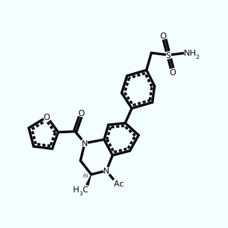 CC(=O)N1c2ccc(-c3ccc(CS(N)(=O)=O)cc3)cc2N(C(=O)c2ccco2)C[C@@H]1C